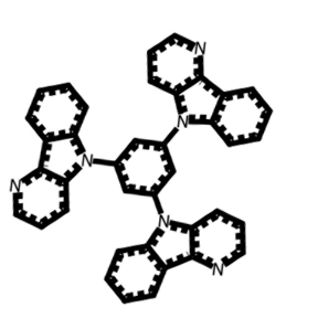 c1ccc2c(c1)c1ncccc1n2-c1cc(-n2c3ccccc3c3ncccc32)cc(-n2c3ccccc3c3ncccc32)c1